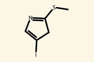 CSC1=NC=C(I)C1